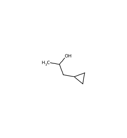 CC(O)CC1CC1